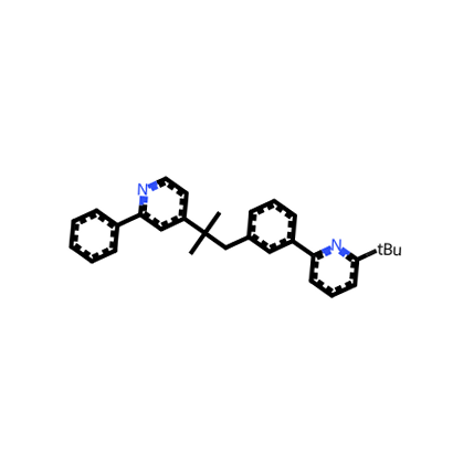 CC(C)(C)c1cccc(-c2cccc(CC(C)(C)c3ccnc(-c4ccccc4)c3)c2)n1